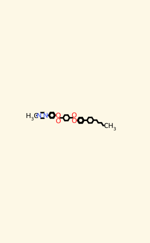 CCCCCC1CCC(c2ccc(OC(=O)C3CCC(C(=O)Oc4ccc(N5CCN(C)CC5)cc4)CC3)cc2)CC1